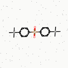 C[Si](C)(C)c1ccc(S(=O)(=O)c2ccc([Si](C)(C)C)cc2)cc1